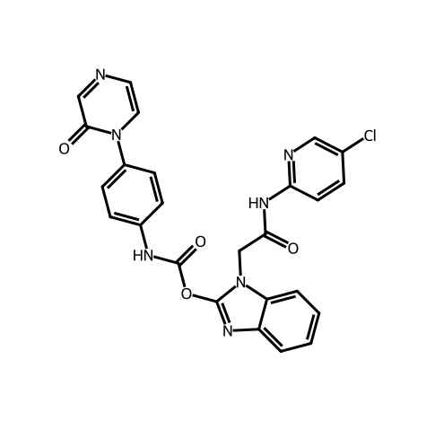 O=C(Cn1c(OC(=O)Nc2ccc(-n3ccncc3=O)cc2)nc2ccccc21)Nc1ccc(Cl)cn1